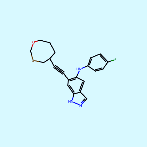 Fc1ccc(Nc2cc3cn[nH]c3cc2C#CC2CCCOCSC2)cc1